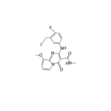 CNC(=O)c1c(Nc2ccc(F)c(CI)c2)nc2c(OC)cccn2c1=O